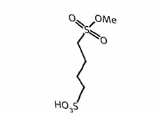 COS(=O)(=O)CCCCS(=O)(=O)O